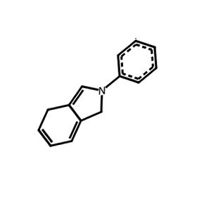 [c]1cccc(N2C=C3CC=CC=C3C2)c1